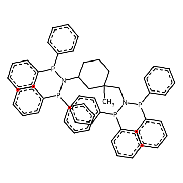 CC1(CN(P(c2ccccc2)c2ccccc2)P(c2ccccc2)c2ccccc2)CCCC(N(P(c2ccccc2)c2ccccc2)P(c2ccccc2)c2ccccc2)C1